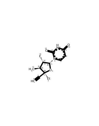 C#C[C@]1(CC)O[C@@H](n2ccc(=O)[nH]c2=O)[C@@H](F)[C@@H]1C